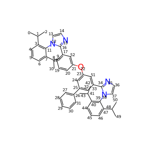 CC(C)c1cccc(C(C)C)c1-n1ccnc1-c1cccc(Oc2cc(-c3ccccc3)cc(-c3nccn3-c3c(C(C)C)cccc3C(C)C)c2)c1